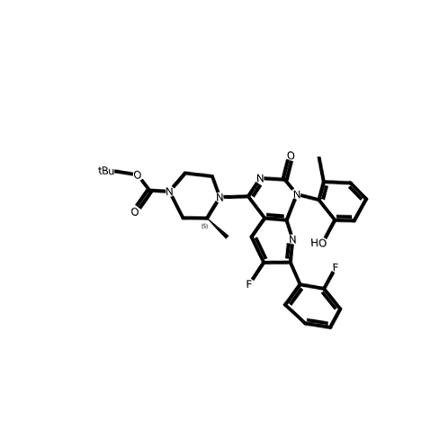 Cc1cccc(O)c1-n1c(=O)nc(N2CCN(C(=O)OC(C)(C)C)C[C@@H]2C)c2cc(F)c(-c3ccccc3F)nc21